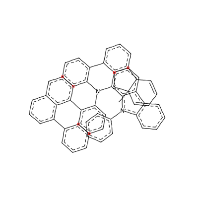 CC12C=CC=CC1c1cccc(-c3ccccc3N(c3ccccc3-c3cccc4cccc(-c5ccccc5)c34)c3cccc4c5ccccc5n(-c5ccccc5)c34)c1S2